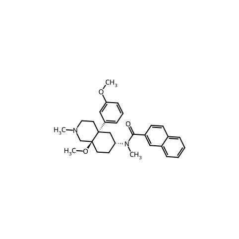 COc1cccc([C@@]23CCN(C)C[C@@]2(OC)CC[C@@H](N(C)C(=O)c2ccc4ccccc4c2)C3)c1